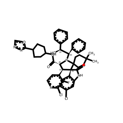 CC1(C)CCC2(CC1)N([C@H](c1ccccc1)[C@@H](O)c1ccccc1)[C@@H](C(=O)NC1CCC(c3nnco3)CC1)[C@H](c1ccnc(Cl)c1F)[C@@]21C(=O)Nc2cc(Cl)ccc21